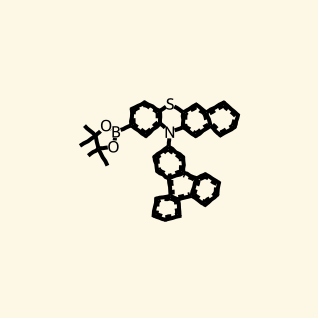 CC1(C)OB(c2ccc3c(c2)N(c2ccc4c5ccccc5c5ccccc5c4c2)c2cc4ccccc4cc2S3)OC1(C)C